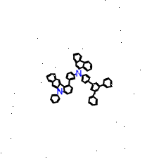 c1ccc(-c2cc(-c3ccccc3)cc(-c3ccc(N(c4cccc(-c5cccc6c5c5cc7ccccc7cc5n6-c5ccccc5)c4)c4cc5ccccc5c5ccccc45)cc3)c2)cc1